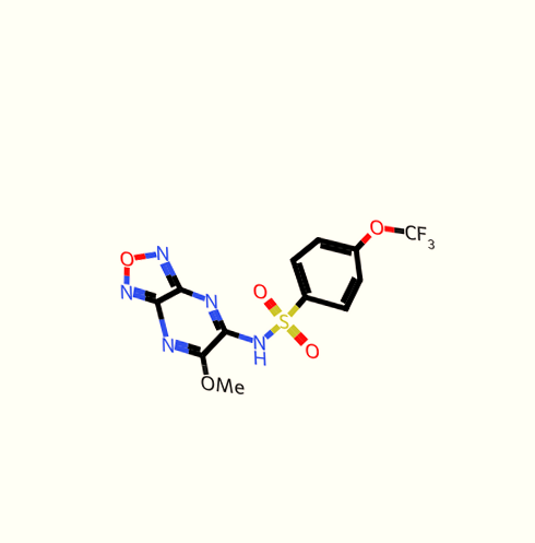 COc1nc2nonc2nc1NS(=O)(=O)c1ccc(OC(F)(F)F)cc1